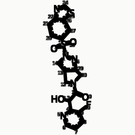 O=C(C(O)c1ncccc1F)N1Cc2cn(S(=O)(=O)c3ccc4ncsc4c3)nc2C1